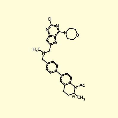 CC(=O)N1c2ccc(-c3ccc(CN(C)Cc4cc5nc(Cl)nc(N6CCOCC6)c5s4)cc3)cc2CC[C@@H]1C